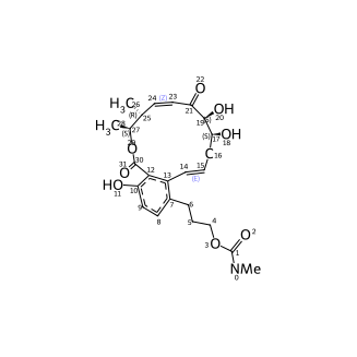 CNC(=O)OCCCc1ccc(O)c2c1/C=C/C[C@H](O)[C@H](O)C(=O)/C=C\[C@@H](C)[C@H](C)OC2=O